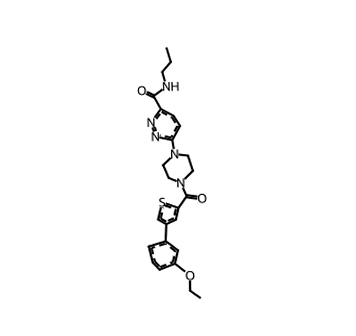 CCCNC(=O)c1ccc(N2CCN(C(=O)c3cc(-c4cccc(OCC)c4)cs3)CC2)nn1